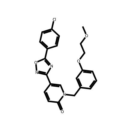 COCCOc1cccc(Cn2cc(-c3noc(-c4ccc(Cl)cc4)n3)ccc2=O)c1